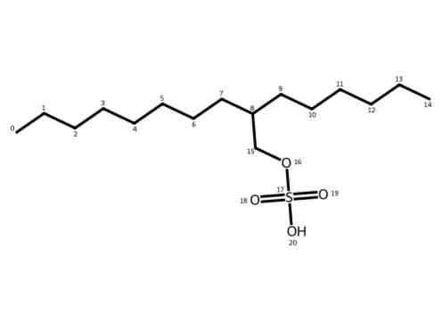 CCCCCCCCC(CCCCCC)COS(=O)(=O)O